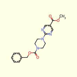 COC(=O)c1cnc(N2CCN(C(=O)OCc3ccccc3)CC2)nc1